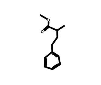 COC(=O)C(C)CCc1ccccc1